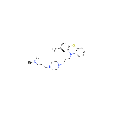 CCN(CC)CCCN1CCN(CCCN2c3ccccc3Sc3ccc(C(F)(F)F)cc32)CC1